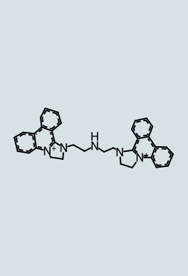 c1ccc2c(c1)c1[n+](c3ccccc23)CCN1CCNCCN1CC[n+]2c1c1ccccc1c1ccccc12